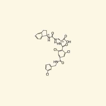 O=C(NC[C@H](NC(=O)c1c(Cl)cc(C(=O)NCc2cccc(Cl)c2)cc1Cl)C(=O)O)N[C@@H]1CCc2ccccc21